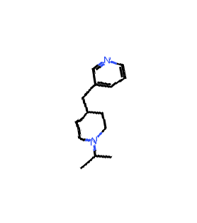 CC(C)N1CCC(Cc2cccnc2)CC1